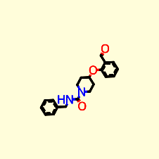 O=Cc1ccccc1OC1CCN(C(=O)NCc2ccccc2)CC1